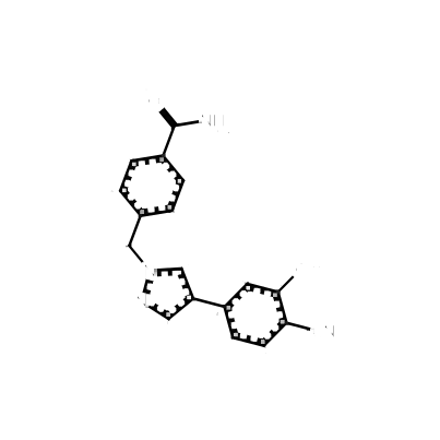 N#Cc1ccc(-c2cnn(Cc3ccc(C(N)=O)cc3)c2)cc1Cl